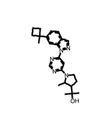 CC1C(C(C)(C)O)CCN1c1cc(-n2ncc3ccc(C4(C)CCC4)cc32)ncn1